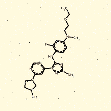 CCOCCN(C)c1ccc(Nc2nc(N)nn2-c2cc(N3CC[C@H](O)C3)ncn2)c(F)c1